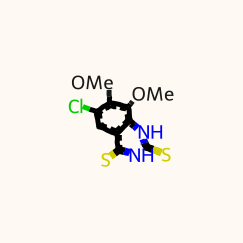 COc1c(Cl)cc2c(=S)[nH]c(=S)[nH]c2c1OC